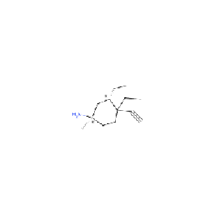 C#CC1(CC)CC[C@@](C)(N)C[C@@H]1CC